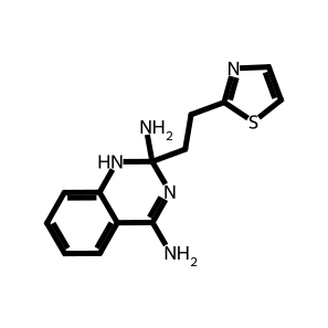 NC1=NC(N)(CCc2nccs2)Nc2ccccc21